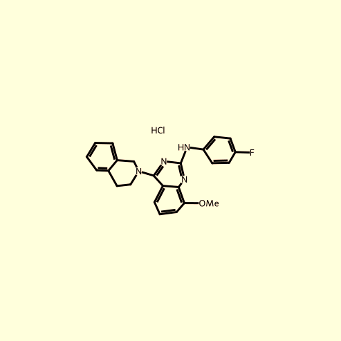 COc1cccc2c(N3CCc4ccccc4C3)nc(Nc3ccc(F)cc3)nc12.Cl